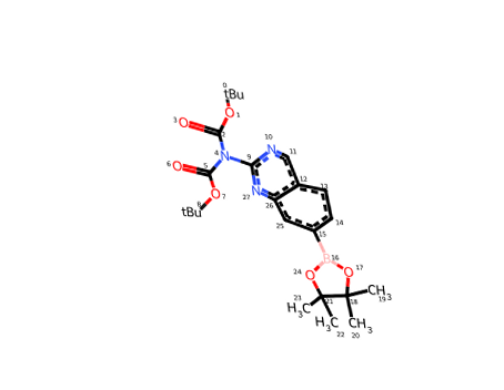 CC(C)(C)OC(=O)N(C(=O)OC(C)(C)C)c1ncc2ccc(B3OC(C)(C)C(C)(C)O3)cc2n1